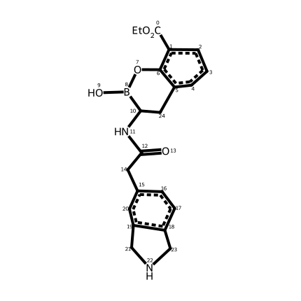 CCOC(=O)c1cccc2c1OB(O)C(NC(=O)Cc1ccc3c(c1)CNC3)C2